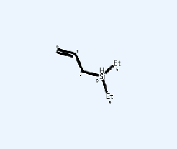 C=C[CH][SiH](CC)CC